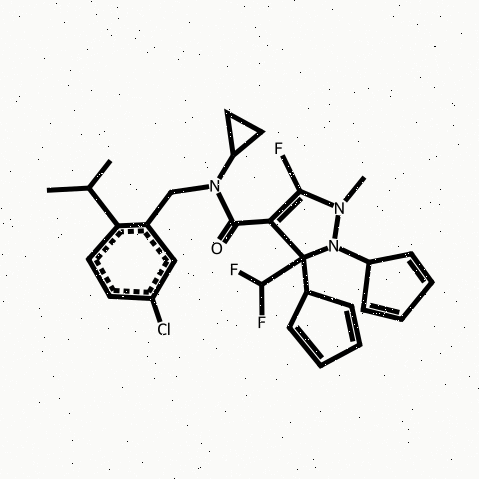 CC(C)c1ccc(Cl)cc1CN(C(=O)C1=C(F)N(C)N(C2C=CC=C2)C1(C(F)F)C1C=CC=C1)C1CC1